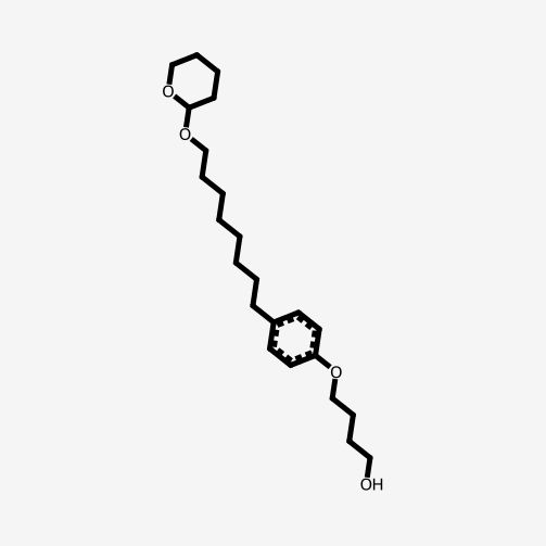 OCCCCOc1ccc(CCCCCCCCOC2CCCCO2)cc1